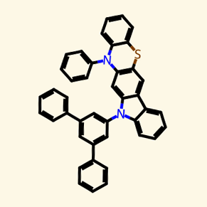 c1ccc(-c2cc(-c3ccccc3)cc(-n3c4ccccc4c4cc5c(cc43)N(c3ccccc3)c3ccccc3S5)c2)cc1